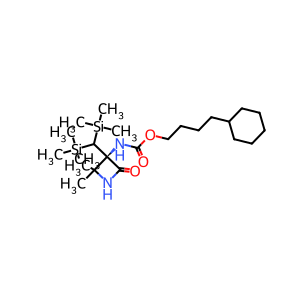 CC1(C)NC(=O)[C@@]1(NC(=O)OCCCCC1CCCCC1)C([Si](C)(C)C)[Si](C)(C)C